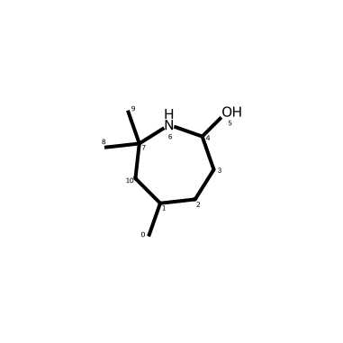 CC1CCC(O)NC(C)(C)C1